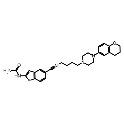 NC(=O)Nc1cc2cc(C#[N+]CCCCN3CCN(c4ccc5c(c4)CCCO5)CC3)ccc2s1